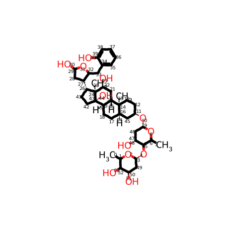 CC1O[C@H](OC2C(C)O[C@@H](O[C@H]3CC[C@@]4(C)[C@H](CC[C@@H]5[C@@H]4C[C@@H](O)[C@]4(C)[C@@H](C6CC(O)OC6Cc6ccccc6O)CC[C@]54O)C3)C[C@H]2O)C[C@@H](O)C1O